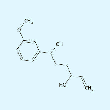 C=CC(O)CCC(O)c1cccc(OC)c1